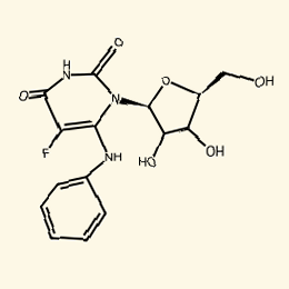 O=c1[nH]c(=O)n([C@H]2O[C@@H](CO)C(O)C2O)c(Nc2ccccc2)c1F